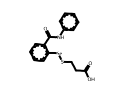 O=C(O)CCS[Se]c1ccccc1C(=O)Nc1ccccc1